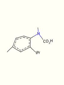 Cc1ccc(N(C)C(=O)O)c(C(C)C)c1